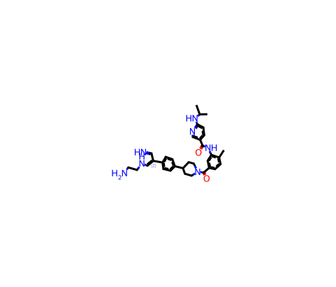 Cc1ccc(C(=O)N2CCC(c3ccc(/C(C=N)=C/NCCN)cc3)CC2)cc1NC(=O)c1ccc(NC(C)C)nc1